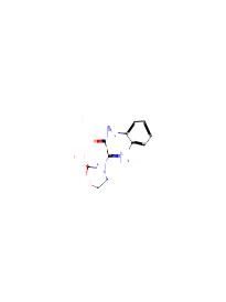 Cn1c(=O)c(N2CCOC2=O)nc2ccccc21